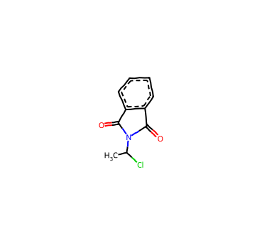 CC(Cl)N1C(=O)c2ccccc2C1=O